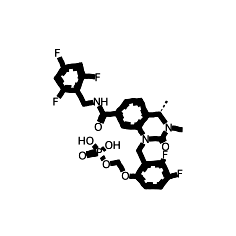 C[C@H]1c2ccc(C(=O)NCc3c(F)cc(F)cc3F)cc2N(Cc2c(OCOP(=O)(O)O)ccc(F)c2F)C(=O)N1C